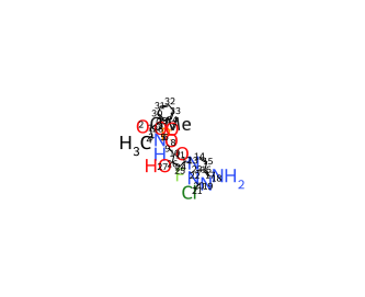 COC(=O)[C@H](C)NP(=O)(OC[C@H]1O[C@@H](n2ccc3c(N)nc(Cl)nc32)C(F)C1O)Oc1ccccc1